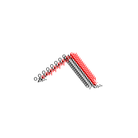 O=[N+]([O-])O.O=[N+]([O-])O.O=[N+]([O-])O.O=[N+]([O-])O.O=[N+]([O-])O.O=[N+]([O-])O.O=[N+]([O-])O.O=[N+]([O-])O.O=[N+]([O-])O.O=[N+]([O-])O.O=[N+]([O-])O.O=[N+]([O-])O.O=[N+]([O-])O.O=[N+]([O-])O.O=[N+]([O-])O.O=[N+]([O-])O.O=[N+]([O-])O.O=[N+]([O-])O.O=[N+]([O-])O.O=[N+]([O-])O.O=[N+]([O-])O.O=[N+]([O-])O.O=[N+]([O-])[O-].O=[N+]([O-])[O-].O=[N+]([O-])[O-].O=[N+]([O-])[O-].[Zn+2].[Zn+2]